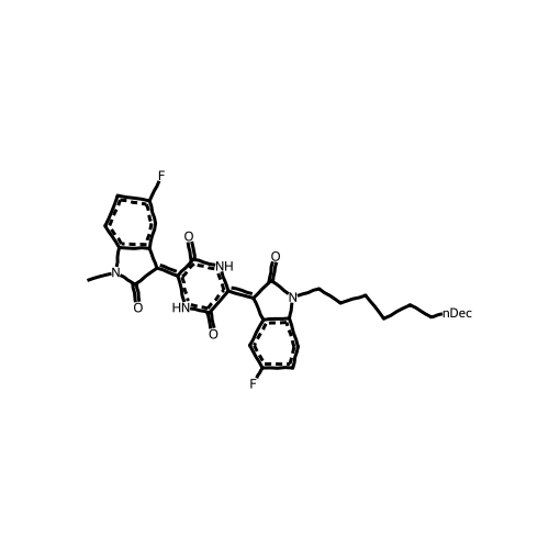 CCCCCCCCCCCCCCCCN1C(=O)/C(=c2\[nH]c(=O)/c(=C3/C(=O)N(C)c4ccc(F)cc43)[nH]c2=O)c2cc(F)ccc21